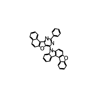 c1ccc(-c2nc(-n3c4ccccc4c4c5c(ccc43)oc3ccccc35)c3oc4ccc5ccccc5c4c3n2)cc1